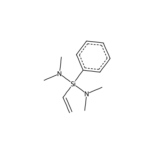 C=C[Si](c1ccccc1)(N(C)C)N(C)C